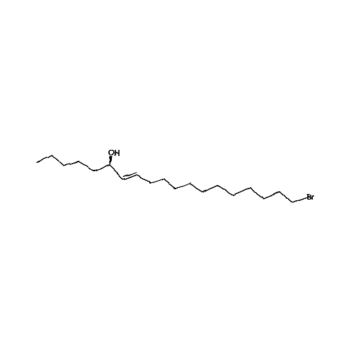 CCCCC[C@@H](O)C=CCCCCCCCCCCCBr